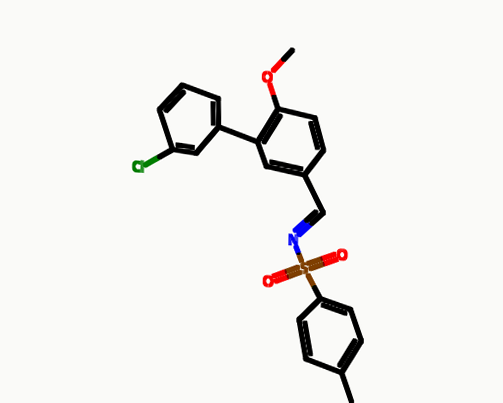 COc1ccc(/C=N/S(=O)(=O)c2ccc(C)cc2)cc1-c1cccc(Cl)c1